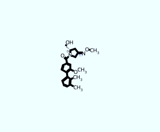 CO/N=C1\C[C@@H](CO)N(C(=O)c2ccc(-c3cccc(C)c3C)c(OC)c2)C1